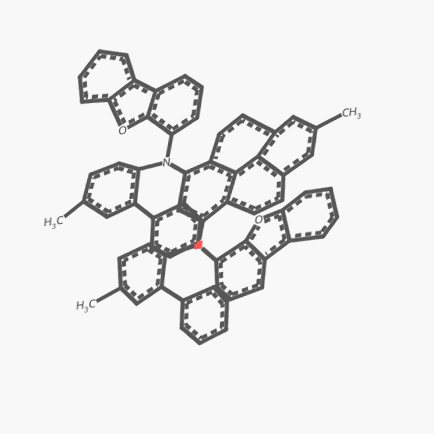 Cc1ccc(N(c2cc(N(c3ccc(C)cc3-c3ccccc3)c3cccc4c3oc3ccccc34)c3ccc4cc(C)cc5ccc2c3c54)c2cccc3c2oc2ccccc23)c(-c2ccccc2)c1